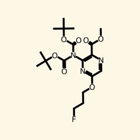 COC(=O)c1ncc(OCCCF)nc1N(C(=O)OC(C)(C)C)C(=O)OC(C)(C)C